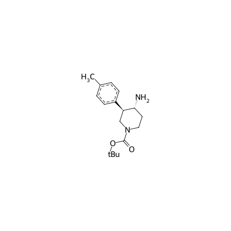 Cc1ccc([C@@H]2CN(C(=O)OC(C)(C)C)CC[C@H]2N)cc1